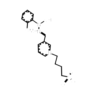 COc1ccccc1N(C)N=Cc1ccc[n+](CCCCS(=O)(=O)[O-])c1